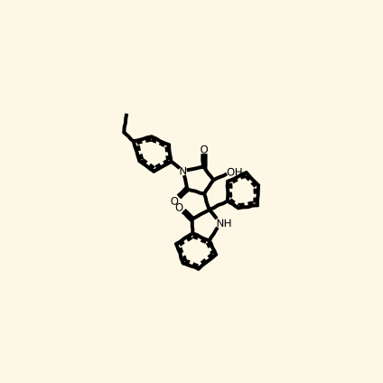 CCc1ccc(N2C(=O)C(O)C(C3(c4ccccc4)Nc4ccccc4C3=O)C2=O)cc1